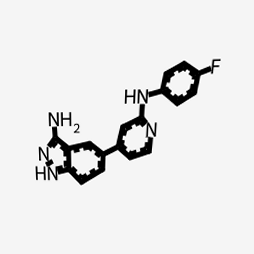 Nc1n[nH]c2ccc(-c3ccnc(Nc4ccc(F)cc4)c3)cc12